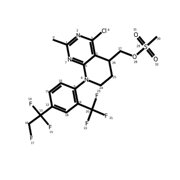 Cc1nc(Cl)c2c(n1)N(c1ccc(C(F)(F)CF)cc1C(F)(F)F)CCC2COS(C)(=O)=O